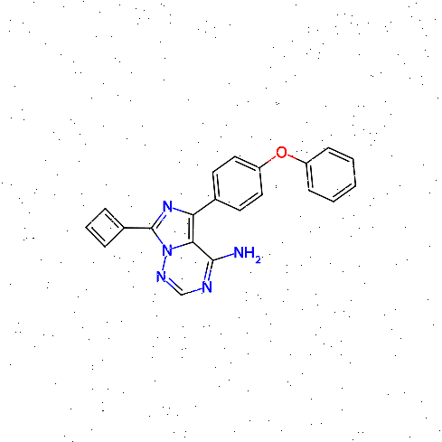 Nc1ncnn2c(C3=CC=C3)nc(-c3ccc(Oc4ccccc4)cc3)c12